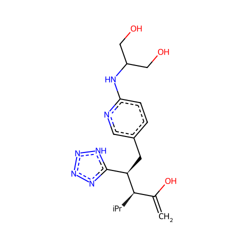 C=C(O)[C@@H](C(C)C)[C@H](Cc1ccc(NC(CO)CO)nc1)c1nnn[nH]1